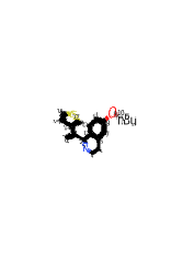 C=C(C1=NCCc2cc(OCCCC)ccc21)c1ccsc1